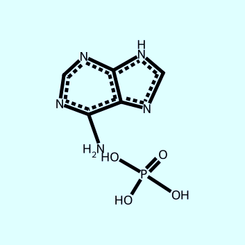 Nc1ncnc2[nH]cnc12.O=P(O)(O)O